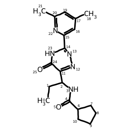 CCC(NC(=O)C1CCCC1)c1nnc(-c2cc(C)cc(C)n2)[nH]c1=O